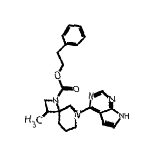 CC1CN(C(=O)OCCc2ccccc2)C12CCCN(c1ncnc3[nH]ccc13)C2